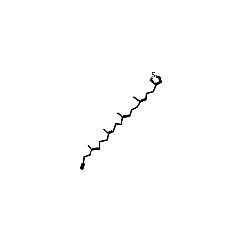 C#CCC/C(C)=C/CC/C(C)=C/CC/C(C)=C/CC/C(C)=C/CCc1ccsc1